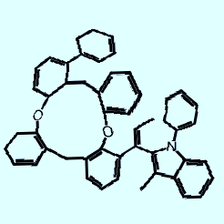 C/C=C(/c1cccc2c1Oc1ccccc1CC1C(C3=CC=CCC3)=CC=CC1OC1=C(C=CCC1)C2)c1c(C)c2ccccc2n1C1=CC=CCC1